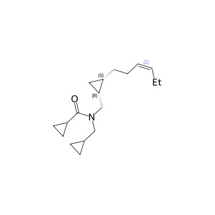 CC/C=C\CC[C@H]1C[C@H]1CN(CC1CC1)C(=O)C1CC1